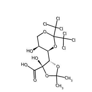 CC1(C)O[C@@H]([C@@H]2OC(C(Cl)(Cl)Cl)(C(Cl)(Cl)Cl)OC[C@@H]2O)[C@@](O)(C(=O)O)O1